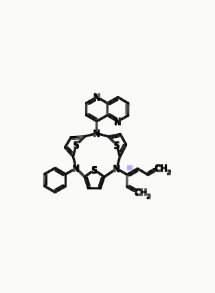 C=C/C=C(\C=C)n1c2ccc(s2)n(-c2ccccc2)c2ccc(s2)n(-c2ccnc3cccnc23)c2ccc1s2